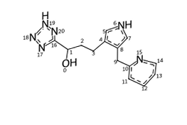 OC(CCc1c[nH]cc1Cc1ccccn1)c1nn[nH]n1